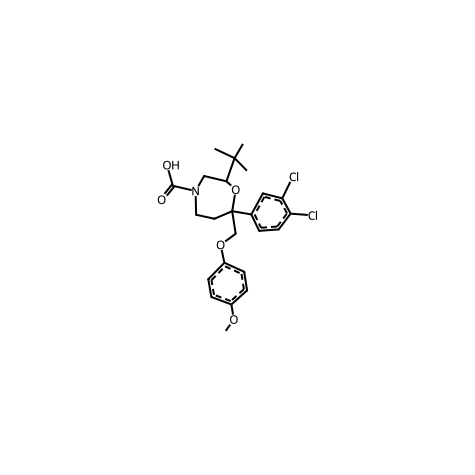 COc1ccc(OCC2(c3ccc(Cl)c(Cl)c3)CCN(C(=O)O)CC(C(C)(C)C)O2)cc1